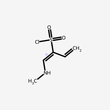 C=C/C(=C\NC)S(=O)(=O)Cl